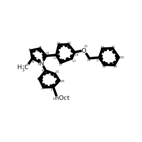 CCCCCCCCc1ccc(-n2c(C)ccc2-c2ccc(OCc3ccccc3)cc2)cc1